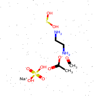 C=O.CC(=O)[O-].NCCN.O=S(=O)(O)O.OSO.[Na+]